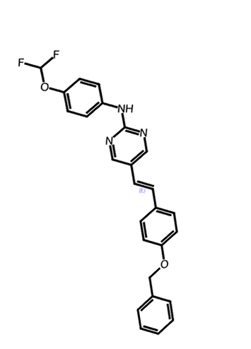 FC(F)Oc1ccc(Nc2ncc(/C=C/c3ccc(OCc4ccccc4)cc3)cn2)cc1